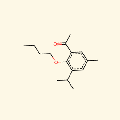 CCCCOc1c(C(C)=O)cc(C)cc1C(C)C